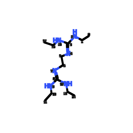 CCNC(=NCCN=C(NCC)NCC)NCC